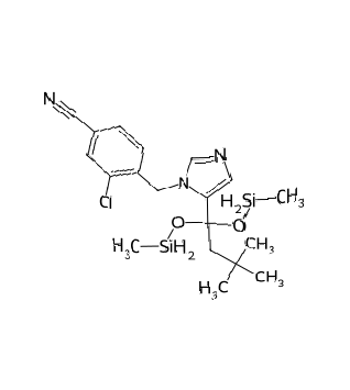 C[SiH2]OC(CC(C)(C)C)(O[SiH2]C)c1cncn1Cc1ccc(C#N)cc1Cl